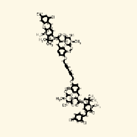 CC[C@@H](C(=O)N[C@@H](Cc1ccc(OCC#CC#CCOc2ccc(C[C@H](NC(=O)[C@H](CC)N(C)C(=O)OC(C)(C)C)C(=O)N3CC(C)(C)c4c3cc(Cc3ccc(Cl)cc3Cl)c(=O)n4C)cc2)cc1)C(=O)N1CC(C)(C)c2c1cc(Cc1ccc(Cl)cc1Cl)c(=O)n2C)N(C)C(=O)OC(C)(C)C